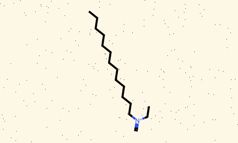 C=[N+](CC)CCCCCCCCCCCCC